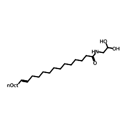 CCCCCCCCC=CCCCCCCCCCCCC(=O)NCC(O)O